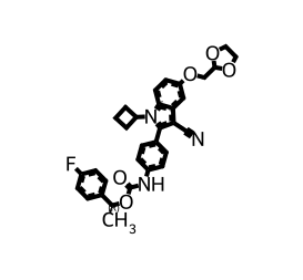 C[C@@H](OC(=O)Nc1ccc(-c2c(C#N)c3cc(OCC4OCCO4)ccc3n2C2CCC2)cc1)c1ccc(F)cc1